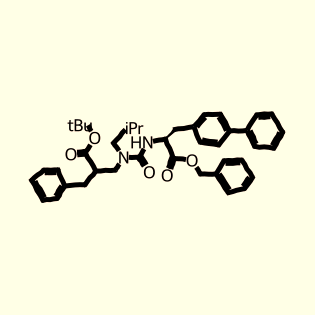 CC(C)CN(CC(Cc1ccccc1)C(=O)OC(C)(C)C)C(=O)N[C@@H](Cc1ccc(-c2ccccc2)cc1)C(=O)OCc1ccccc1